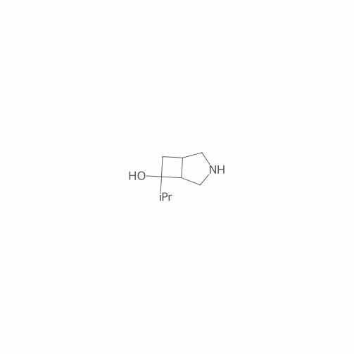 CC(C)C1(O)CC2CNCC21